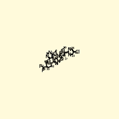 COc1ncnc(OC)c1-n1c(NS(=O)(=O)[C@@H](C)[C@H](OC)c2ncc(Cl)cn2)nnc1[C@H]1CC[C@@H](C(F)F)CC1